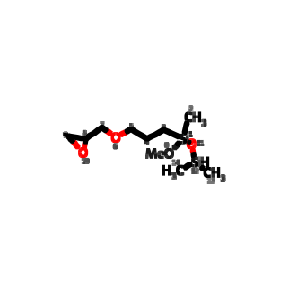 CO[Si](C)(CCCOCC1CO1)O[SiH](C)C